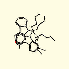 CCC[CH2][SnH]([CH2]CCC)[Hf]([CH2]CCC)([CH2]CCC)([CH]1c2ccccc2-c2ccc(C)cc21)[CH]1c2ccccc2-c2ccc(C)cc21